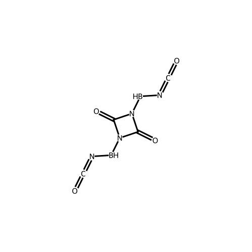 O=C=NBN1C(=O)N(BN=C=O)C1=O